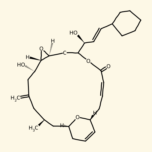 C=C1C[C@H](C)C[C@@H]2CC=C[C@@H](C/C=C\C(=O)OC([C@@H](O)/C=C/C3CCCCC3)C[C@@H]3O[C@H]3[C@@H](O)C1)O2